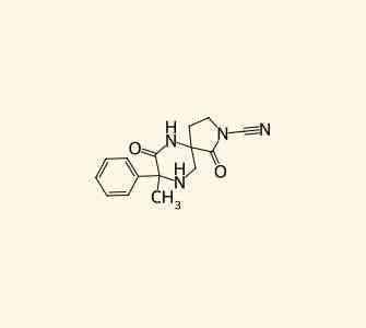 CC1(c2ccccc2)NCC2(CCN(C#N)C2=O)NC1=O